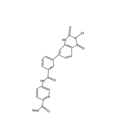 CCn1c(=O)[nH]c2cc(-c3cccc(C(=O)Nc4ccc(C(=O)NC)nc4)c3)ccc2c1=O